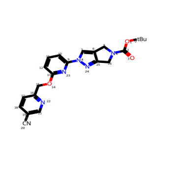 CC(C)(C)OC(=O)N1Cc2cn(-c3cccc(OCc4ccc(C#N)cn4)n3)nc2C1